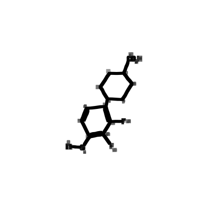 CCOc1ccc(C2CCC(C(=O)O)CC2)c(F)c1F